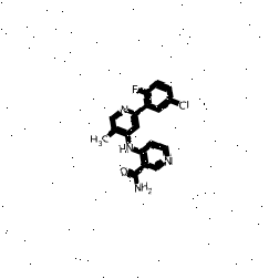 Cc1cnc(-c2cc(Cl)ccc2F)cc1Nc1ccncc1C(N)=O